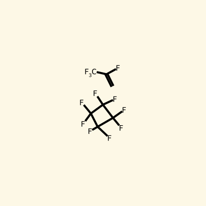 C=C(F)C(F)(F)F.FC1(F)C(F)(F)C(F)(F)C1(F)F